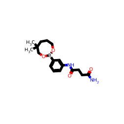 CC1(C)CCCOB(c2cccc(NC(=O)CCC(N)=O)c2)OC1